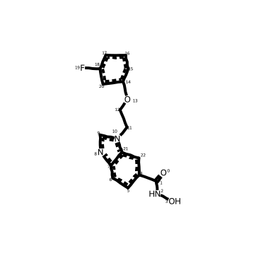 O=C(NO)c1ccc2ncn(CCOc3cccc(F)c3)c2c1